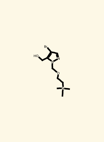 C[Si](C)(C)CCOCn1ncc(Br)c1CO